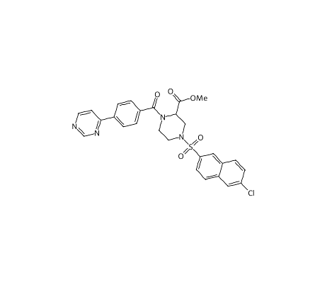 COC(=O)C1CN(S(=O)(=O)c2ccc3cc(Cl)ccc3c2)CCN1C(=O)c1ccc(-c2ccncn2)cc1